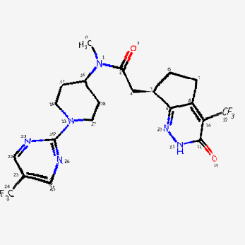 CN(C(=O)C[C@H]1CCc2c1n[nH]c(=O)c2C(F)(F)F)C1CCN(c2ncc(C(F)(F)F)cn2)CC1